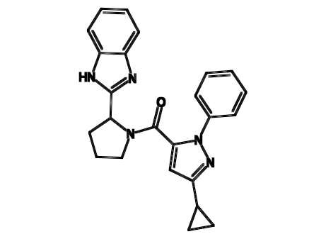 O=C(c1cc(C2CC2)nn1-c1ccccc1)N1CCCC1c1nc2ccccc2[nH]1